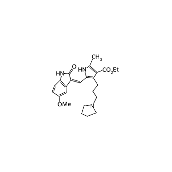 CCOC(=O)c1c(C)[nH]c(/C=C2\C(=O)Nc3ccc(OC)cc32)c1CCCN1CCCC1